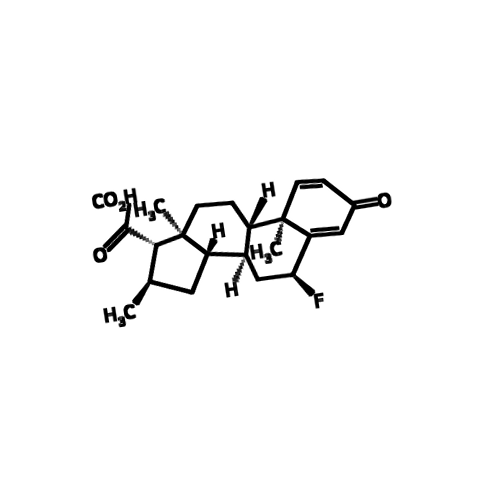 C[C@@H]1C[C@H]2[C@@H]3C[C@H](F)C4=CC(=O)C=C[C@]4(C)[C@H]3CC[C@]2(C)[C@H]1C(=O)C(=O)O